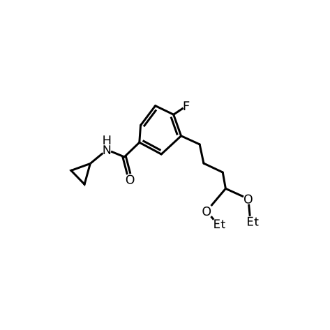 CCOC(CCCc1cc(C(=O)NC2CC2)ccc1F)OCC